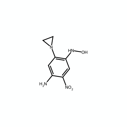 Nc1cc(N2CC2)c(NO)cc1[N+](=O)[O-]